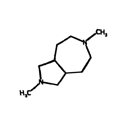 CN1CCC2CN(C)CC2CC1